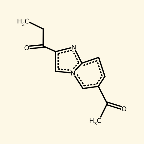 CCC(=O)c1cn2cc(C(C)=O)ccc2n1